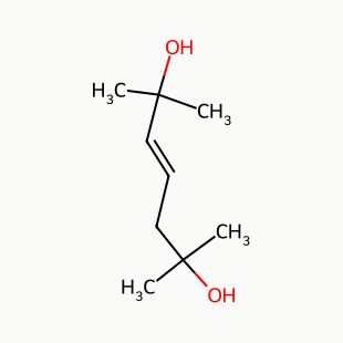 CC(C)(O)C=CCC(C)(C)O